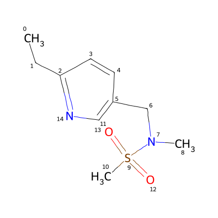 CCc1ccc(CN(C)S(C)(=O)=O)cn1